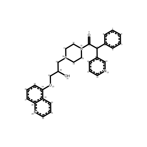 O=C(C(c1ccccc1)c1cccnc1)N1CCN(CC(O)COc2cccc3ncccc23)CC1